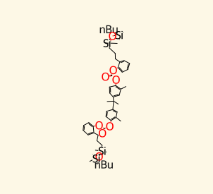 CCCC[Si](C)(C)O[Si](C)(C)CCCc1ccccc1OC(=O)Oc1ccc(C(C)(C)c2ccc(OC(=O)Oc3ccccc3CCC[Si](C)(C)O[Si](C)(C)CCCC)c(C)c2)cc1C